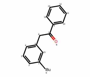 CCC(C)c1cccc(CC(=O)c2ccccc2)c1